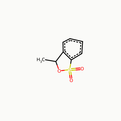 CC1OS(=O)(=O)c2ccccc21